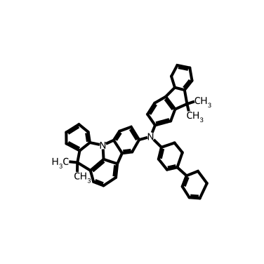 CC1(C)C2=CC=CCC2c2ccc(N(C3=CC=C(C4=CC=CCC4)CC3)c3ccc4c(c3)c3cccc5c3n4-c3ccccc3C5(C)C)cc21